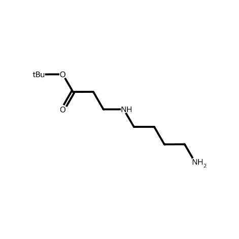 CC(C)(C)OC(=O)CCNCCCCN